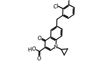 O=C(O)c1cn(C2CC2)c2ccc(Cc3cccc(Cl)c3Cl)cc2c1=O